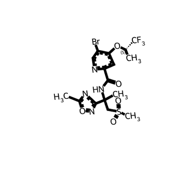 Cc1nc(C(C)(CS(C)(=O)=O)NC(=O)c2cc(O[C@@H](C)C(F)(F)F)c(Br)cn2)no1